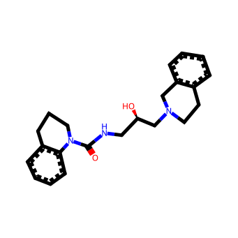 O=C(NC[C@@H](O)CN1CCc2ccccc2C1)N1CCCc2ccccc21